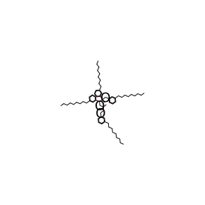 CCCCCCCCCc1cccc(OCC(C)OC(c2cccc(CCCCCCCCC)c2)C(C)(Oc2cccc(CCCCCCCCC)c2)c2cccc(CCCCCCCCC)c2)c1